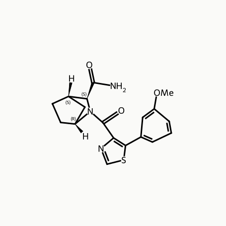 COc1cccc(-c2scnc2C(=O)N2[C@@H]3CC[C@@H](C3)[C@H]2C(N)=O)c1